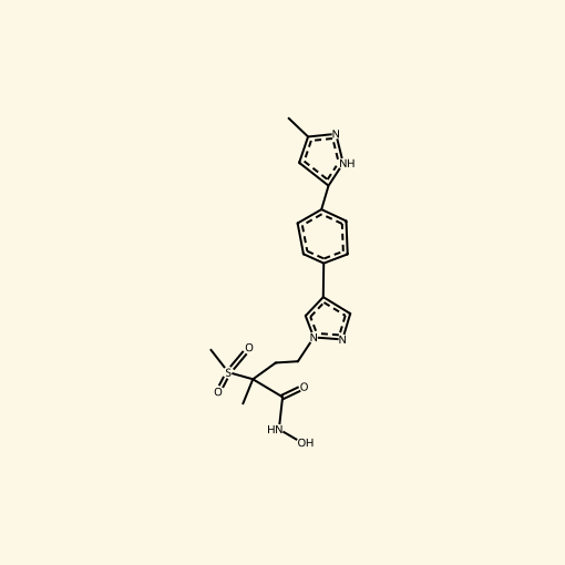 Cc1cc(-c2ccc(-c3cnn(CCC(C)(C(=O)NO)S(C)(=O)=O)c3)cc2)[nH]n1